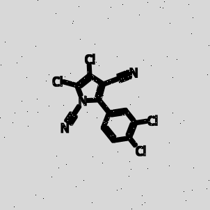 N#Cc1c(Cl)c(Cl)n(C#N)c1-c1ccc(Cl)c(Cl)c1